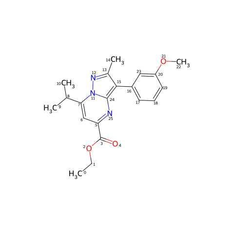 CCOC(=O)c1cc(C(C)C)n2nc(C)c(-c3cccc(OC)c3)c2n1